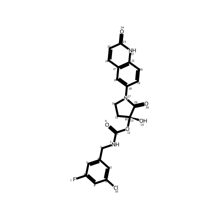 O=C(NCc1cc(F)cc(Cl)c1)O[C@]1(O)CCN(c2ccc3[nH]c(=O)ccc3c2)C1=O